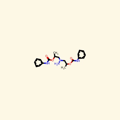 CC(CN(N)CC(C)OC(=O)Nc1ccccc1)OC(=O)Nc1ccccc1